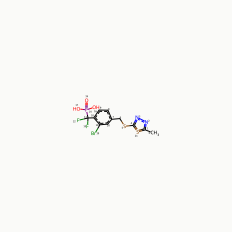 Cc1nnc(SCc2ccc(C(F)(F)P(=O)(O)O)c(Br)c2)s1